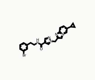 O=C(NCCc1cccc(Br)c1)c1cnn(Cc2cn3cc(C4CC4)ccc3n2)c1